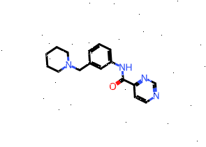 O=C(Nc1cccc(CN2CCCCC2)c1)c1ccncn1